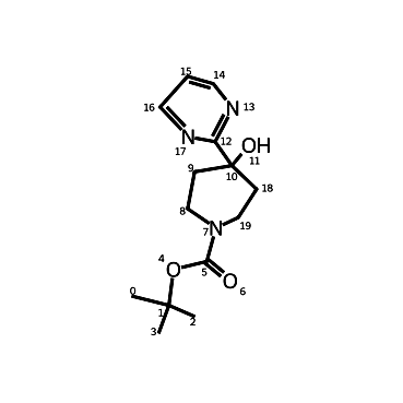 CC(C)(C)OC(=O)N1CCC(O)(c2ncccn2)CC1